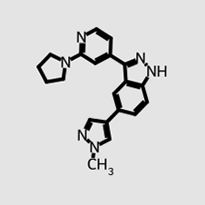 Cn1cc(-c2ccc3[nH]nc(-c4ccnc(N5CCCC5)c4)c3c2)cn1